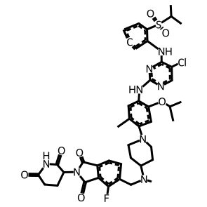 Cc1cc(Nc2ncc(Cl)c(Nc3ccccc3S(=O)(=O)C(C)C)n2)c(OC(C)C)cc1N1CCC(N(C)Cc2ccc3c(c2F)C(=O)N(C2CCC(=O)NC2=O)C3=O)CC1